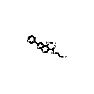 CC(C)CCNC(=O)c1cnc2sc(-c3cccnc3)cc2c1NC(C)C